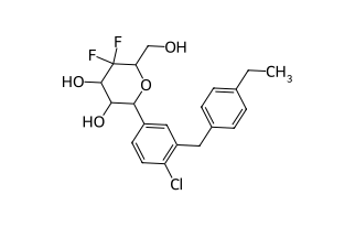 CCc1ccc(Cc2cc(C3OC(CO)C(F)(F)C(O)C3O)ccc2Cl)cc1